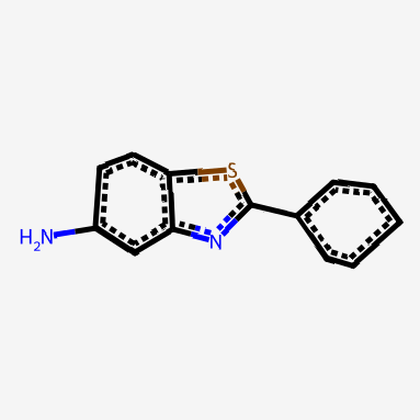 Nc1ccc2sc(-c3ccccc3)nc2c1